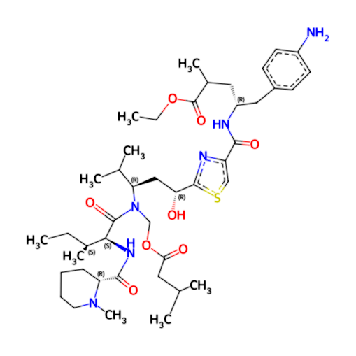 CCOC(=O)C(C)C[C@H](Cc1ccc(N)cc1)NC(=O)c1csc([C@H](O)C[C@H](C(C)C)N(COC(=O)CC(C)C)C(=O)[C@@H](NC(=O)[C@H]2CCCCN2C)[C@@H](C)CC)n1